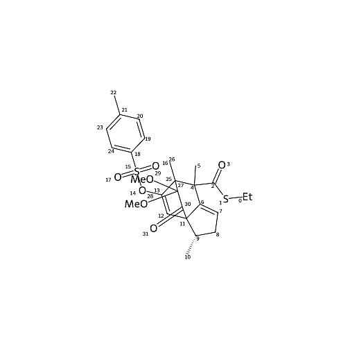 CCSC(=O)C1(C)C2=CC[C@H](C)C23C=C(OS(=O)(=O)c2ccc(C)cc2)C1(C)C(OC)(OC)C3=O